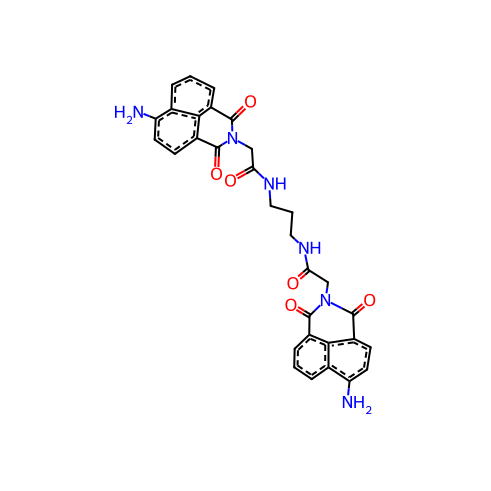 Nc1ccc2c3c(cccc13)C(=O)N(CC(=O)NCCCNC(=O)CN1C(=O)c3cccc4c(N)ccc(c34)C1=O)C2=O